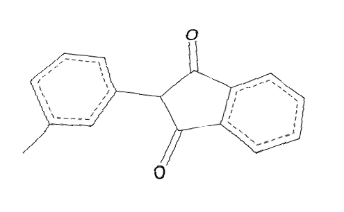 Cc1cccc(C2C(=O)c3ccccc3C2=O)c1